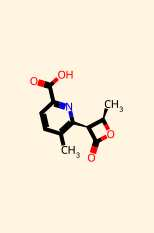 Cc1ccc(C(=O)O)nc1[C@@H]1C(=O)O[C@@H]1C